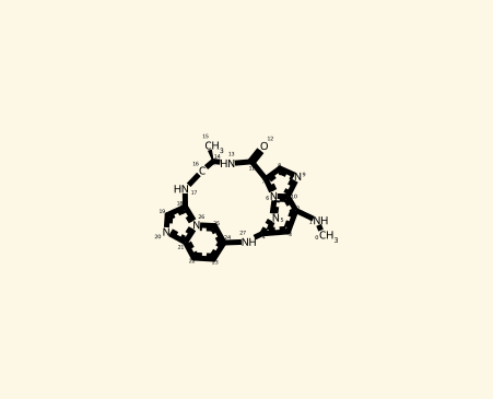 CNc1cc2nn3c(cnc13)C(=O)N[C@H](C)CNc1cnc3ccc(cn13)N2